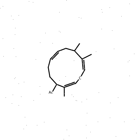 CC(=O)C1CC/C=C\CC(C)/C(C)=C\C/C=C\1C